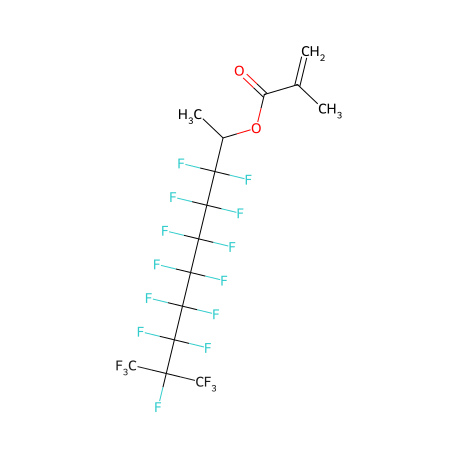 C=C(C)C(=O)OC(C)C(F)(F)C(F)(F)C(F)(F)C(F)(F)C(F)(F)C(F)(F)C(F)(C(F)(F)F)C(F)(F)F